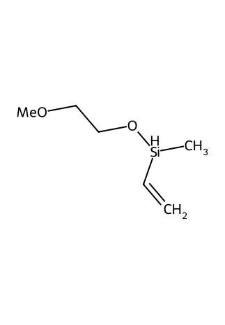 C=C[SiH](C)OCCOC